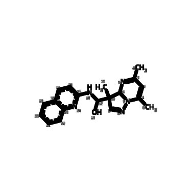 CC1=CC(C)=NC2N1N=CC2(C)C(O)Nc1ccc2ccccc2n1